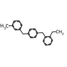 CCc1ccccc1Cc1ccc(Cc2cccc(C)c2)cc1